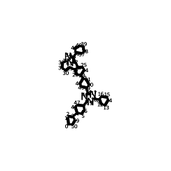 c1ccc(-c2ccc(-c3nc(-c4ccccc4)nc(-c4ccc(-c5ccc6c(c5)c5cccc7nc(-c8ccccc8)c6n75)cc4)n3)cc2)cc1